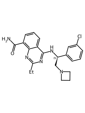 CCc1nc(N[C@H](CN2CCC2)c2cccc(Cl)c2)c2cccc(C(N)=O)c2n1